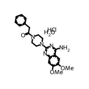 COc1cc2nc(N3CCN(C(=O)Cc4ccccc4)CC3)nc(N)c2cc1OC.Cl.O